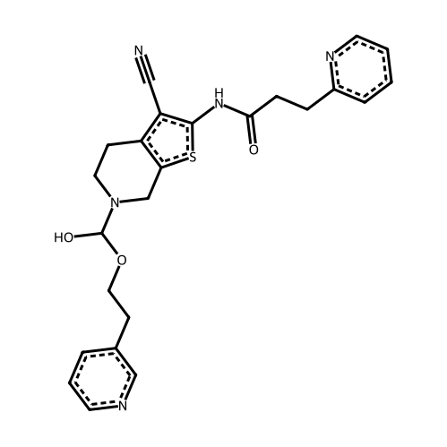 N#Cc1c(NC(=O)CCc2ccccn2)sc2c1CCN(C(O)OCCc1cccnc1)C2